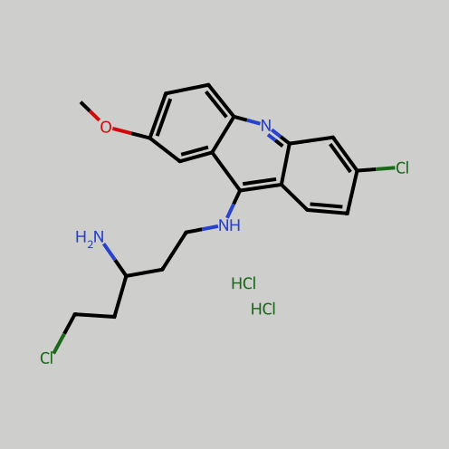 COc1ccc2nc3cc(Cl)ccc3c(NCCC(N)CCCl)c2c1.Cl.Cl